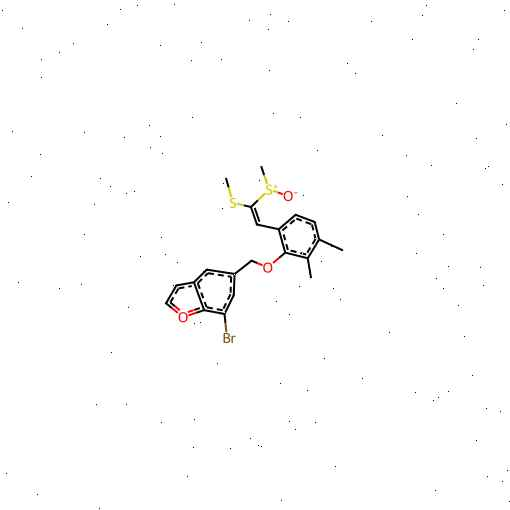 CSC(=Cc1ccc(C)c(C)c1OCc1cc(Br)c2occc2c1)[S+](C)[O-]